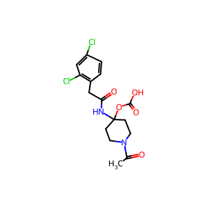 CC(=O)N1CCC(NC(=O)Cc2ccc(Cl)cc2Cl)(OC(=O)O)CC1